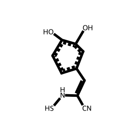 N#CC(=Cc1ccc(O)c(O)c1)NS